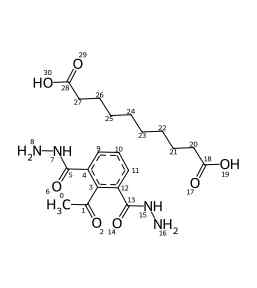 CC(=O)c1c(C(=O)NN)cccc1C(=O)NN.O=C(O)CCCCCCCCC(=O)O